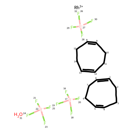 C1=C\CC/C=C\CC/1.C1=C\CC/C=C\CC/1.F[B-](F)(F)F.F[B-](F)(F)F.F[B-](F)(F)F.O.[Rh+3]